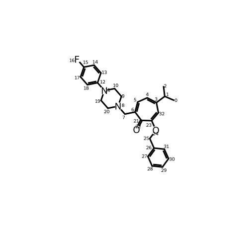 CC(C)c1ccc(CN2CCN(c3ccc(F)cc3)CC2)c(=O)c(OCc2ccccc2)c1